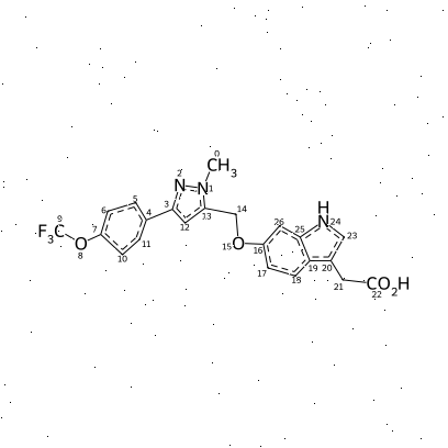 Cn1nc(-c2ccc(OC(F)(F)F)cc2)cc1COc1ccc2c(CC(=O)O)c[nH]c2c1